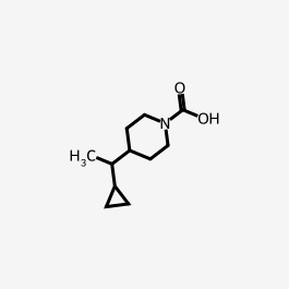 CC(C1CC1)C1CCN(C(=O)O)CC1